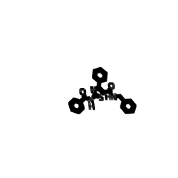 O=C(Nc1nc(-c2ccccc2)c(C(=O)NCc2ccccc2)s1)c1ccccc1